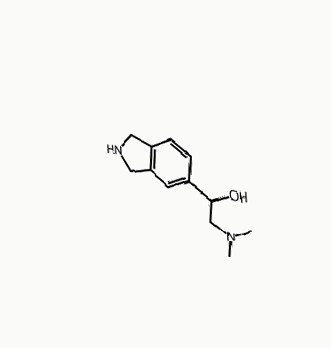 CN(C)CC(O)c1ccc2c(c1)CNC2